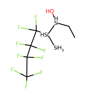 CC[SiH](O)[SiH]([SiH3])C(F)(F)C(F)(F)C(F)(F)C(F)(F)F